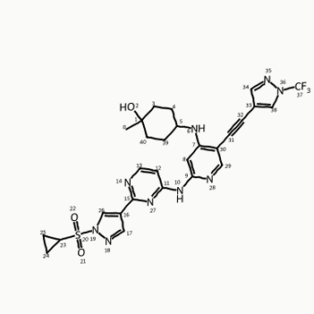 CC1(O)CCC(Nc2cc(Nc3ccnc(-c4cnn(S(=O)(=O)C5CC5)c4)n3)ncc2C#Cc2cnn(C(F)(F)F)c2)CC1